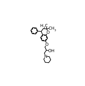 CC1(C)CC(c2ccccc2)c2ccc(OCC(O)CN3CCCCC3)cc2O1